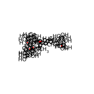 CC(=O)O[C@H]1C(C)O[C@@H](OC(=O)[C@]23CCC(C)(C)CC2C2=CCC4C5(C)CC[C@H](O[C@@H]6OC[C@@H](O)[C@H](O[C@@H]7OC[C@@H](O)[C@H](O)C7O)C6O[C@@H]6OC(CO)[C@H](O)[C@H](O)C6O)[C@](C)(C=O)[C@@H]5CC[C@]4(C)[C@]2(C)CC3O)[C@H](O[C@@H]2OC(C)[C@H](O[C@@H]3OC[C@@H](O)C(O[C@@H]4OC[C@@](O)(CO)C4O)[C@H]3O)C(O[C@@H]3OC(CO)[C@@H](O)C(O)[C@H]3O)[C@@H]2O)C1O[C@@H]1OC(C)[C@H](O)[C@H](O)C1O